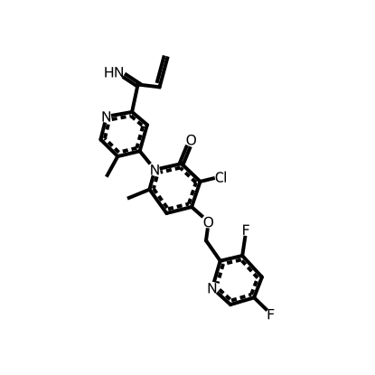 C=CC(=N)c1cc(-n2c(C)cc(OCc3ncc(F)cc3F)c(Cl)c2=O)c(C)cn1